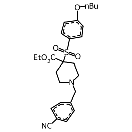 CCCCOc1ccc(S(=O)(=O)C2(C(=O)OCC)CCN(Cc3ccc(C#N)cc3)CC2)cc1